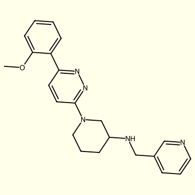 COc1ccccc1-c1ccc(N2CCCC(NCc3cccnc3)C2)nn1